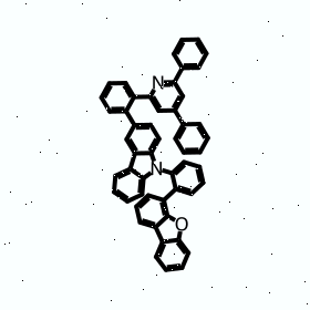 c1ccc(-c2cc(-c3ccccc3)nc(-c3ccccc3-c3ccc4c(c3)c3ccccc3n4-c3ccccc3-c3cccc4c3oc3ccccc34)c2)cc1